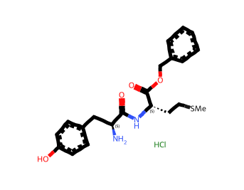 CSCC[C@H](NC(=O)[C@@H](N)Cc1ccc(O)cc1)C(=O)OCc1ccccc1.Cl